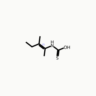 CC/C(C)=C(\C)NC(O)=S